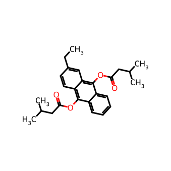 CCc1ccc2c(OC(=O)CC(C)C)c3ccccc3c(OC(=O)CC(C)C)c2c1